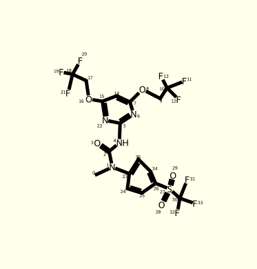 CN(C(=O)Nc1nc(OCC(F)(F)F)cc(OCC(F)(F)F)n1)c1ccc(S(=O)(=O)C(F)(F)F)cc1